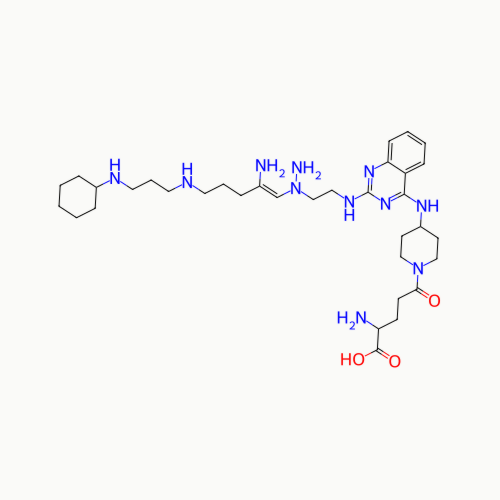 N/C(=C\N(N)CCNc1nc(NC2CCN(C(=O)CCC(N)C(=O)O)CC2)c2ccccc2n1)CCCNCCCNC1CCCCC1